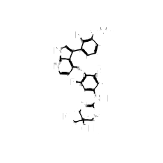 COc1cccc(-c2c[nH]c3nccc(Oc4c(F)cc(NC5=NCC(C)(CO)CO5)cc4F)c23)c1F